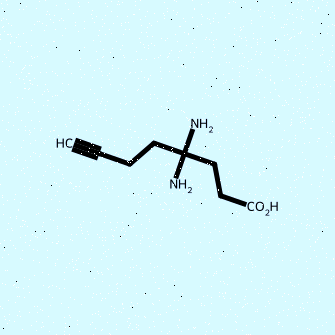 C#CCCC(N)(N)CCC(=O)O